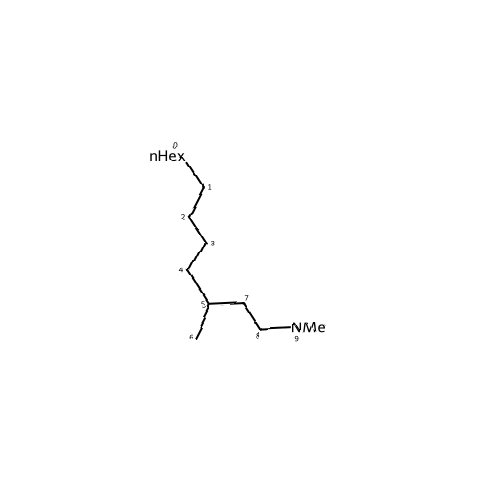 CCCCCCCCCCC(C)CCNC